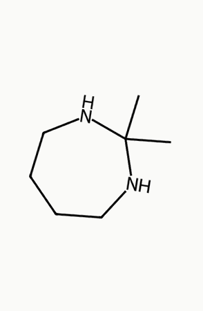 CC1(C)NCCCCN1